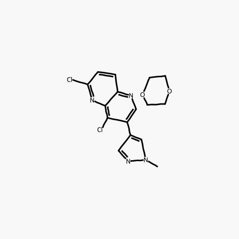 C1COCCO1.Cn1cc(-c2cnc3ccc(Cl)nc3c2Cl)cn1